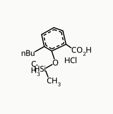 CCCCc1cccc(C(=O)O)c1O[SiH](C)C.Cl